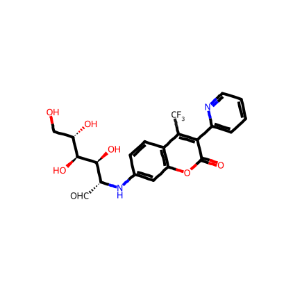 O=C[C@@H](Nc1ccc2c(C(F)(F)F)c(-c3ccccn3)c(=O)oc2c1)[C@H](O)[C@@H](O)[C@@H](O)CO